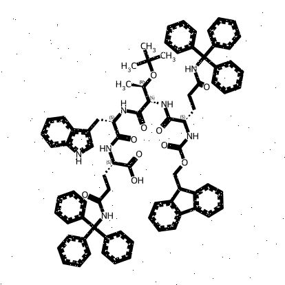 C[C@@H](OC(C)(C)C)[C@H](NC(=O)[C@H](CCC(=O)NC(c1ccccc1)(c1ccccc1)c1ccccc1)NC(=O)OCC1c2ccccc2-c2ccccc21)C(=O)N[C@@H](Cc1c[nH]c2ccccc12)C(=O)N[C@@H](CCC(=O)NC(c1ccccc1)(c1ccccc1)c1ccccc1)C(=O)O